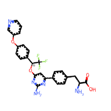 Nc1nc(O[C@@H](c2ccc(Oc3cccnc3)cc2)C(F)(F)F)cc(-c2ccc(CC(N)C(=O)O)cc2)n1